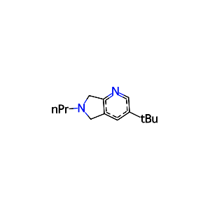 CCCN1Cc2cc(C(C)(C)C)cnc2C1